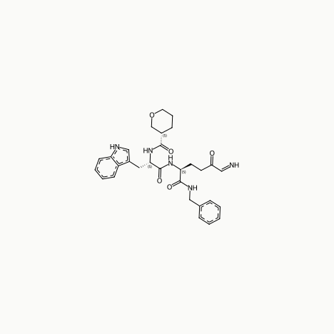 N=CC(=O)CC[C@H](NC(=O)[C@H](Cc1c[nH]c2ccccc12)NC(=O)[C@H]1CCCOC1)C(=O)NCc1ccccc1